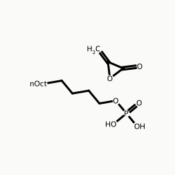 C=C1OC1=O.CCCCCCCCCCCCOP(=O)(O)O